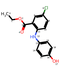 CCOC(=O)c1cc(Cl)ccc1Nc1ccc(O)cc1